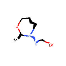 C=C1OCCCN1NCO